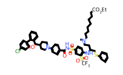 CCOC(=O)CCCCCCCCN(C)CCC(CSc1ccccc1)Nc1ccc(S(=O)(=O)NC(=O)c2ccc(N3CCC(C(O)c4ccccc4-c4ccc(Cl)cc4)CC3)cc2)cc1S(=O)(=O)C(F)(F)F